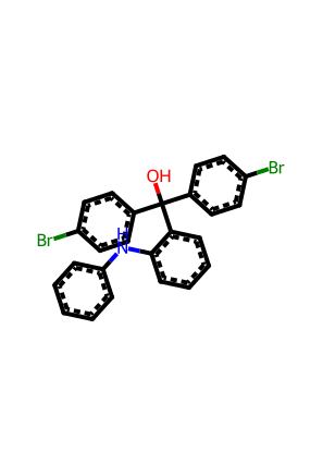 OC(c1ccc(Br)cc1)(c1ccc(Br)cc1)c1ccccc1Nc1ccccc1